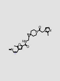 C=N/C=C\c1cc(C(=O)NCC2CC23CCN(C(=O)Cn2ccnc2C)CC3)oc1C